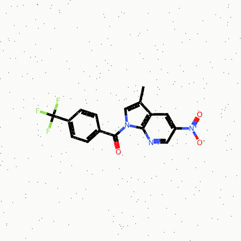 Cc1cn(C(=O)c2ccc(C(F)(F)F)cc2)c2ncc([N+](=O)[O-])cc12